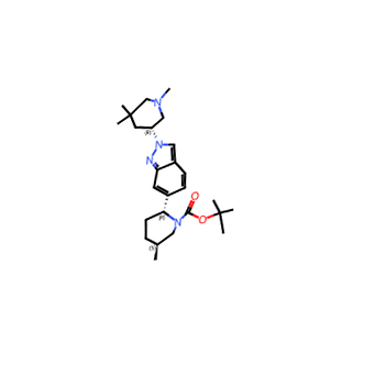 C[C@H]1CC[C@H](c2ccc3cn([C@H]4CN(C)CC(C)(C)C4)nc3c2)N(C(=O)OC(C)(C)C)C1